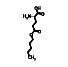 CCCCCOC(=O)CC[C@H](N)C(=O)O